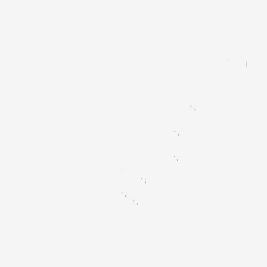 COc1ccc(N2CCN(c3ccc(-n4cnn(CCCC(=O)c5ccc(Cl)cc5)c4=O)cn3)CC2)cc1